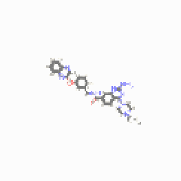 CN1CCN(c2nc(N)nc3cc(C(=O)NCc4cccc(Oc5cnc6ccccc6n5)c4)ccc23)CC1